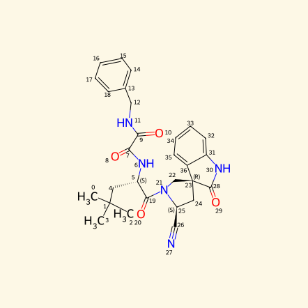 CC(C)(C)C[C@H](NC(=O)C(=O)NCc1ccccc1)C(=O)N1C[C@]2(C[C@H]1C#N)C(=O)Nc1ccccc12